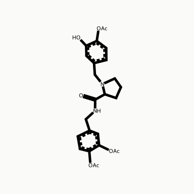 CC(=O)Oc1ccc(CN2CCCC2C(=O)NCc2ccc(OC(C)=O)c(OC(C)=O)c2)cc1O